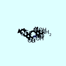 C=C1C(C(N)=O)=C(O)[C@@H](N(C)C)[C@@H]2CCCc3c(F)c(CN4CC(C)(C)CC5(CC5)C4)cc(O)c3C(=O)/C=C(\O)[C@]12O